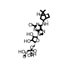 CC1(C)[C@H]2CC(Nc3nc(Cl)nc4c3ncn4[C@@H]3O[C@H](COP(=O)(O)CP(=O)(O)O)C(O)C3O)[C@]3(C)CC[C@@]213